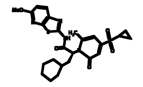 COc1ccc2nc(NC(=O)[C@H](CC3CCCCC3)n3c(C)cc(S(=O)(=O)C4CC4)cc3=O)sc2n1